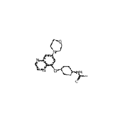 CC(=O)NC1CCC(Oc2cc(N3CCOCC3)cc3nccnc23)CC1